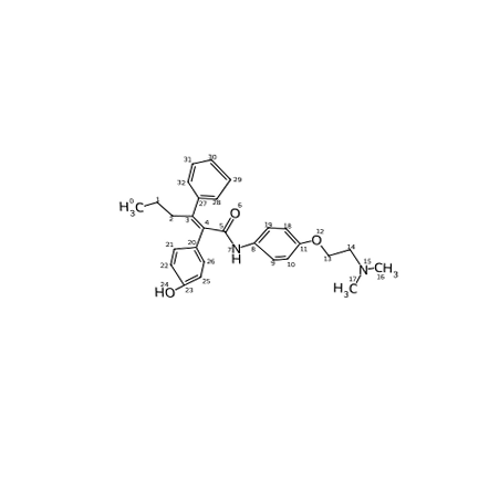 CCC/C(=C(/C(=O)Nc1ccc(OCCN(C)C)cc1)c1ccc(O)cc1)c1ccccc1